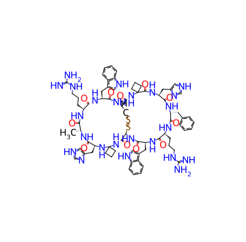 C[C@H]1NC(=O)[C@H](Cc2c[nH]cn2)NC2(CCC2)NC(=O)C2NC(=O)[C@H](Cc3c[nH]c4ccccc34)NC(=O)[C@H](CCCNC(=N)N)NC(=O)[C@@H](Cc3ccccc3)NC(=O)[C@H](Cc3c[nH]cn3)NC(=O)C3(CCC3)NC(=O)[C@H](CSS2)NC(=O)[C@H](Cc2c[nH]c3ccccc23)NC(=O)[C@H](CCCNC(=N)N)NC1=O